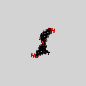 CC(CO[C@H]1CC[C@H]2[C@H]3C(CC[C@]12C)c1ccc(O)cc1CC3C(C)C)OC1CC[C@H]2C3CCc4cc(O)ccc4C3CCC12C